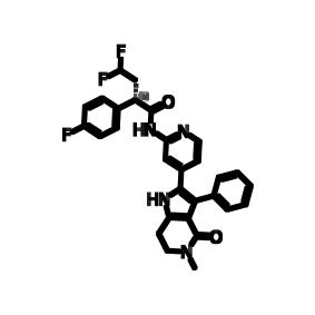 CN1CCc2[nH]c(-c3ccnc(NC(=O)[C@@H](CC(F)F)c4ccc(F)cc4)c3)c(-c3ccccc3)c2C1=O